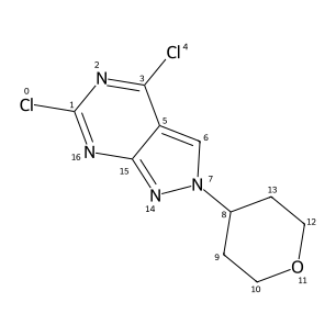 Clc1nc(Cl)c2cn(C3CCOCC3)nc2n1